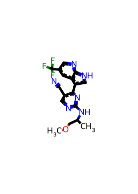 COCC(C)Nc1ncc(C#N)c(-c2c[nH]c3ncc(C(F)(F)F)cc23)n1